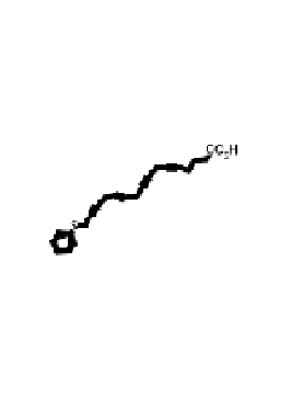 O=C(O)CCCC#CCC#CCC#CCC#CCSc1ccccc1